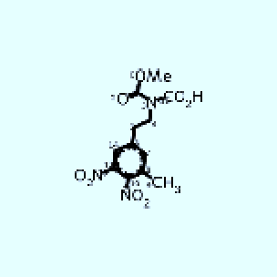 COC(=O)N(CCc1cc(C)c([N+](=O)[O-])c([N+](=O)[O-])c1)C(=O)O